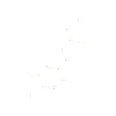 Cc1cc(C(S)CC(O)CO)c(C)cc1O